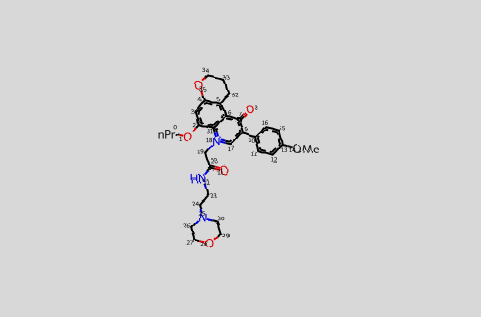 CCCOc1cc2c(c3c(=O)c(-c4ccc(OC)cc4)cn(CC(=O)NCCN4CCOCC4)c13)CCCO2